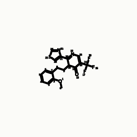 COc1ccccc1CCC1C(=O)C(C(F)(F)F)=CN=C1c1cscn1